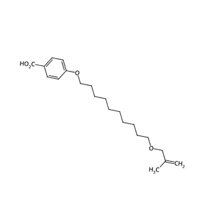 C=C(C)COCCCCCCCCCCOc1ccc(C(=O)O)cc1